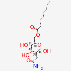 CCCCCCCC(=O)OC[C@H]1O[C@H](O)[C@@H](CC(N)=O)[C@@H](O)[C@@H]1O